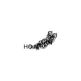 CC(C)C1=C(C(=O)N2[C@H](C)CC[C@H]2C(=O)N2CCN(CCCO)[C@H](C)C2)SC2=N[C@@](C)(c3ccc(Cl)cc3)[C@@H](c3ccc(Cl)cc3)N21